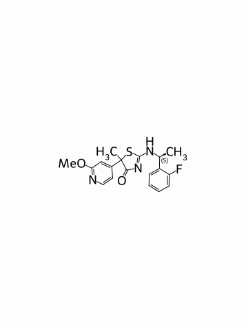 COc1cc(C2(C)SC(N[C@@H](C)c3ccccc3F)=NC2=O)ccn1